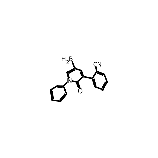 Bc1cc(-c2ccccc2C#N)c(=O)n(-c2ccccc2)c1